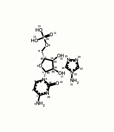 Nc1ccn([C@@H]2O[C@H](COP(=O)(O)O)[C@@H](O)[C@H]2O)c(=O)n1.Nn1cnnc1